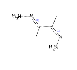 CC(=N/N)/C(C)=N/N